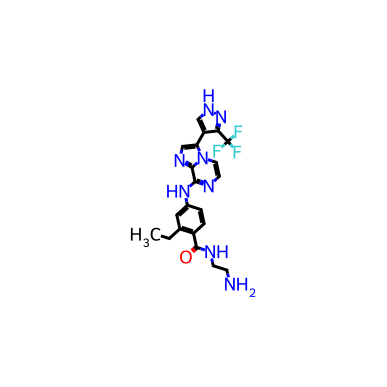 CCc1cc(Nc2nccn3c(-c4c[nH]nc4C(F)(F)F)cnc23)ccc1C(=O)NCCN